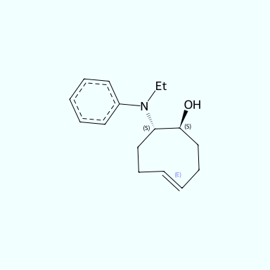 CCN(c1ccccc1)[C@H]1CC/C=C/CC[C@@H]1O